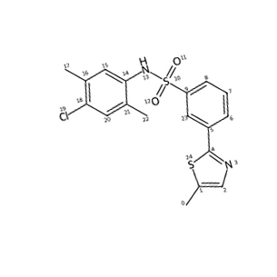 Cc1cnc(-c2cccc(S(=O)(=O)Nc3cc(C)c(Cl)cc3C)c2)s1